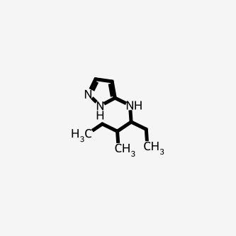 CCC(C)C(CC)Nc1ccn[nH]1